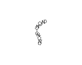 CC1(N2CCCC2)CCC(C)(N2CCC(C3CCN(C45CCC(N6CCCC6)(CC4)C5)C3)C2)C1